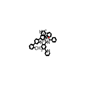 Cc1ccccc1-c1ccc2c3ccc(-c4ccccc4C)cc3n(-c3ccc(-c4ccccn4)cc3-c3nc(-c4ccccc4)nc(-c4ccccc4)n3)c2c1